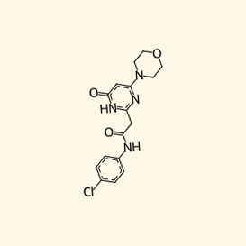 O=C(Cc1nc(N2CCOCC2)cc(=O)[nH]1)Nc1ccc(Cl)cc1